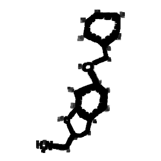 NCC1Cc2ccc(OCc3ccccc3)cc2O1